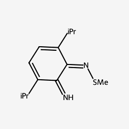 CS/N=C1\C(=N)C(C(C)C)=CC=C1C(C)C